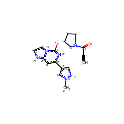 C#CC(=O)N1CC[C@@H](Oc2nc(-c3cnn(C)c3)cc3nccn23)C1